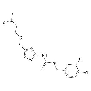 C[S+]([O-])CCOCc1csc(NC(=O)NCc2ccc(Cl)c(Cl)c2)n1